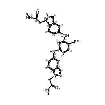 CNC(=O)Cn1ncc2cc(Nc3ncc(F)c(Nc4ccc5c(cnn5CC(=O)NC)c4)n3)ccc21